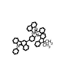 CC1(C)c2ccccc2-c2c(N3c4ccc(-c5cc6c7ccccc7n(-c7ccccc7)c6c6ccccc56)cc4N(c4cccc5ccccc45)P3(=O)c3ccccc3)cccc21